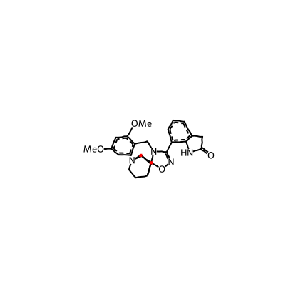 COc1ccc(CN2C(c3cccc4c3NC(=O)C4)=NOC23CN2CCC3CC2)c(OC)c1